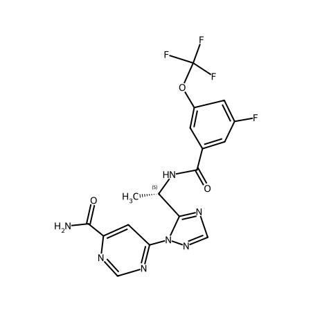 C[C@H](NC(=O)c1cc(F)cc(OC(F)(F)F)c1)c1ncnn1-c1cc(C(N)=O)ncn1